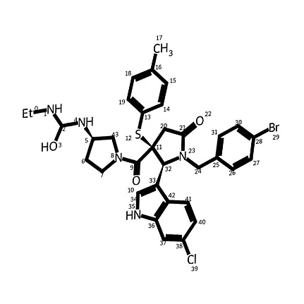 CCNC(O)N[C@@H]1CCN(C(=O)[C@]2(Sc3ccc(C)cc3)CC(=O)N(Cc3ccc(Br)cc3)[C@H]2c2c[nH]c3cc(Cl)ccc23)C1